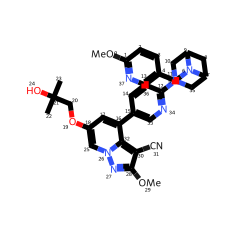 COc1ccc(CN2C3CC2CN(c2ccc(-c4cc(OCC(C)(C)O)cn5nc(OC)c(C#N)c45)cn2)C3)cn1